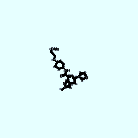 COCCO[C@H]1CC[C@H](NC(=O)c2nc(-n3ccnc3)cc3cn(C)nc23)CC1